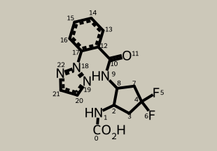 O=C(O)NC1CC(F)(F)CC1NC(=O)c1ccccc1-n1nccn1